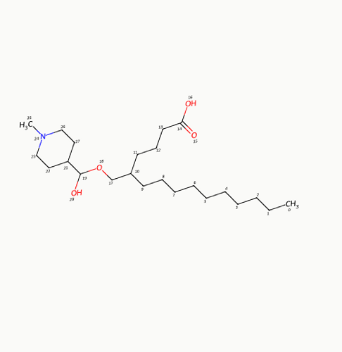 CCCCCCCCCCC(CCCC(=O)O)COC(O)C1CCN(C)CC1